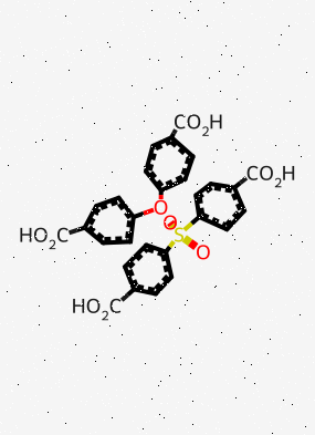 O=C(O)c1ccc(Oc2ccc(C(=O)O)cc2)cc1.O=C(O)c1ccc(S(=O)(=O)c2ccc(C(=O)O)cc2)cc1